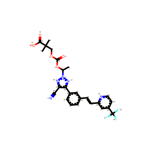 CC(OC(=O)OCC(C)(C)C(=O)O)n1nc(C#N)c(-c2cccc(C=Cc3cc(C(F)(F)F)ccn3)c2)n1